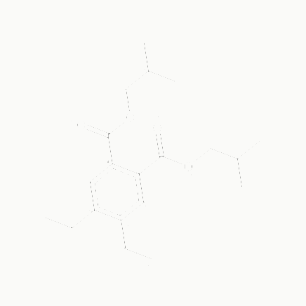 CCc1cc(C(=O)OCC(C)C)c(C(=O)OCC(C)C)cc1CC